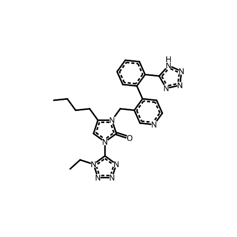 CCCCc1cn(-c2nnnn2CC)c(=O)n1Cc1cnccc1-c1ccccc1-c1nnn[nH]1